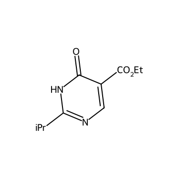 CCOC(=O)c1cnc(C(C)C)[nH]c1=O